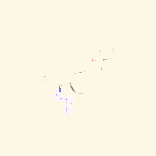 CCCC[Si](C)(C)OCCc1c(C(C)=O)n[nH]c1C